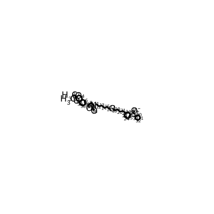 CC1(C)OCc2cc([C@@H]3CN(CCCCCCOCCCCc4cccc([S+]([O-])C5CCCC5)c4)C(=O)O3)ccc2O1